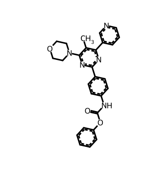 Cc1c(-c2cccnc2)nc(-c2ccc(NC(=O)Oc3ccccc3)cc2)nc1N1CCOCC1